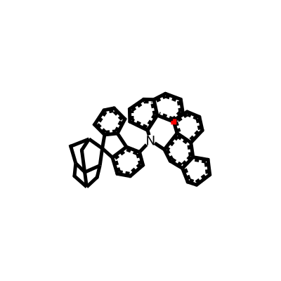 c1ccc2c(c1)-c1c(N(c3cccc4ccccc34)c3cc4ccccc4c4ccccc34)cccc1C21C2CC3CC(C2)CC1C3